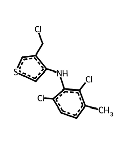 Cc1ccc(Cl)c(Nc2cscc2CCl)c1Cl